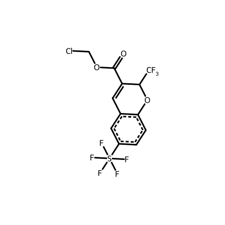 O=C(OCCl)C1=Cc2cc(S(F)(F)(F)(F)F)ccc2OC1C(F)(F)F